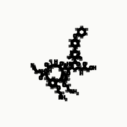 Cc1nc(-c2ccc(OC3CCCCC3)cc2)nc(C)c1C(=O)N[C@@H](CCNC(=O)CO)C(=O)N(C)[C@@H]1C(=O)N[C@@H](C)C(=O)N[C@H](C(=O)NCC#N)Cc2ccc(OCCN)c(c2)-c2cc1ccc2OCCN